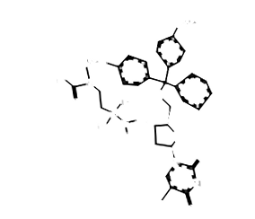 COc1ccc(C(OC[C@H]2O[C@@H](n3cc(C)c(=O)[nH]c3=O)C[C@@H]2OP(O)[N+](CCN(C)C(=O)C(F)(F)F)(C(C)C)C(C)C)(c2ccccc2)c2ccc(OC)cc2)cc1